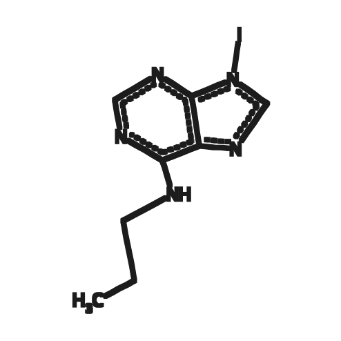 CCCNc1ncnc2c1ncn2I